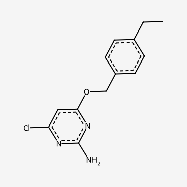 CCc1ccc(COc2cc(Cl)nc(N)n2)cc1